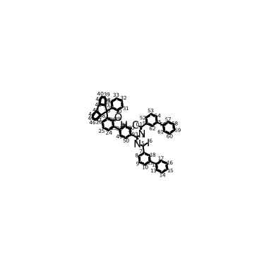 C/C(=N\C(=N/C(I)c1cccc(-c2ccccc2)c1)c1ccc(-c2cccc3c2Oc2ccccc2C32c3ccccc3-c3ccccc32)cc1)c1cccc(-c2ccccc2)c1